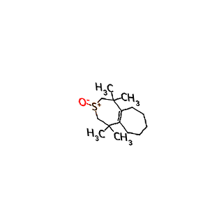 CC1(C)C[S+]([O-])CC(C)(C)C2=C1CCCCC2